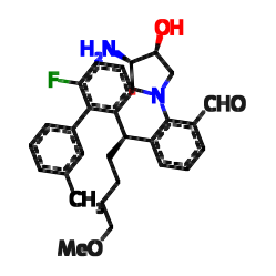 COCCCC[C@@H](c1cccc(F)c1-c1cccc(C)c1)c1cccc(C=O)c1N1C[C@@H](N)[C@@H](O)C1